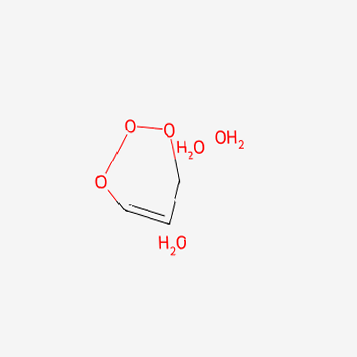 C1=COOOC1.O.O.O